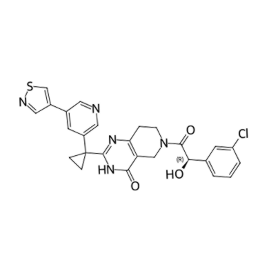 O=C([C@H](O)c1cccc(Cl)c1)N1CCc2nc(C3(c4cncc(-c5cnsc5)c4)CC3)[nH]c(=O)c2C1